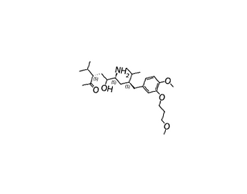 COCCCOc1cc(C[C@@H](C[C@H](N)C(O)C[C@H](C(C)=O)C(C)C)C(C)C)ccc1OC